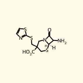 NC1C(=O)N2CC(CSc3nccs3)(C(=O)O)CS[C@H]12